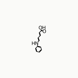 O=C(O)C=CC=CNc1ccccc1